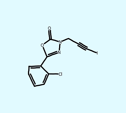 O=c1oc(-c2ccccc2Cl)nn1CC#CI